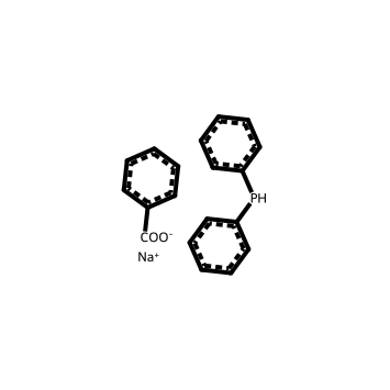 O=C([O-])c1ccccc1.[Na+].c1ccc(Pc2ccccc2)cc1